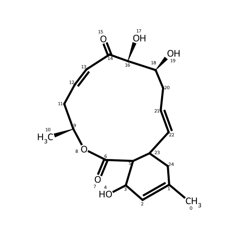 CC1=CC(O)C2C(=O)O[C@@H](C)C/C=C\C(=O)[C@@H](O)[C@@H](O)C/C=C/C2C1